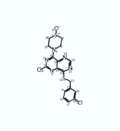 [O-][S+]1CCN(c2nc(Cl)nc3c(SCc4cccc(Cl)c4)ncnc23)CC1